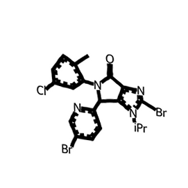 Cc1ccc(Cl)cc1N1C(=O)c2nc(Br)n(C(C)C)c2C1c1ccc(Br)cn1